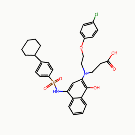 O=C(O)CCN(CCOc1ccc(Cl)cc1)c1cc(NS(=O)(=O)c2ccc(C3CCCCC3)cc2)c2ccccc2c1O